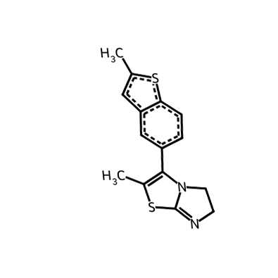 CC1=C(c2ccc3sc(C)cc3c2)N2CCN=C2S1